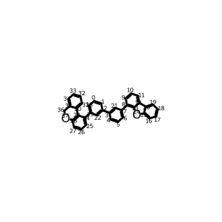 c1cc(-c2cccc(-c3cccc4c3oc3ccccc34)c2)cc(-c2cccc3c2-c2ccccc2CO3)c1